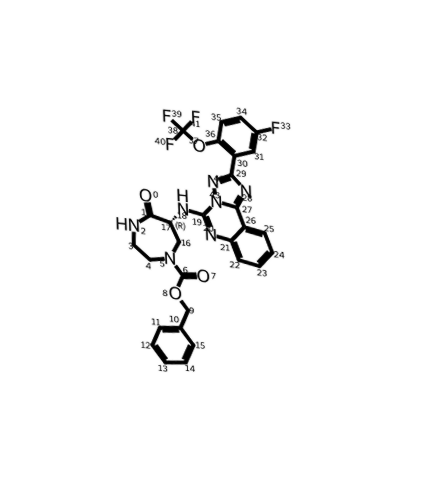 O=C1NCCN(C(=O)OCc2ccccc2)C[C@H]1Nc1nc2ccccc2c2nc(-c3cc(F)ccc3OC(F)(F)F)nn12